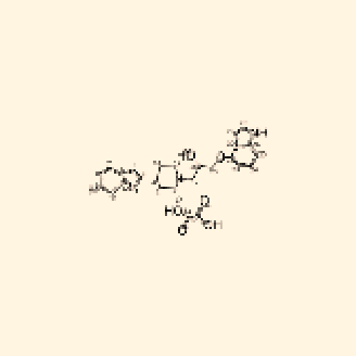 C[C@@H]1C[C@@H](c2cc3ccc(F)cc3s2)CCN1C[C@H](O)COc1cccc2[nH]ccc12.O=C(O)C(=O)O